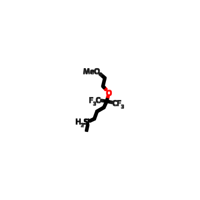 COCCOC(CCC[SiH2]C)(C(F)(F)F)C(F)(F)F